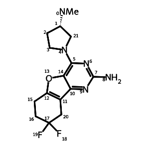 CN[C@H]1CCN(c2nc(N)nc3c4c(oc23)CCC(F)(F)C4)C1